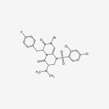 CC(C)N1C=C2N(C(=O)C(N(C)C)CN2S(=O)(=O)c2ccc(Cl)cc2Cl)C(Cc2ccc(F)cc2)C1=O